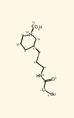 CC(C)(C)OC(=O)NCCC[C@H]1CCCN(C(=O)O)C1